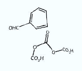 O=C(O)OC(=O)OC(=O)O.O=Cc1ccccc1